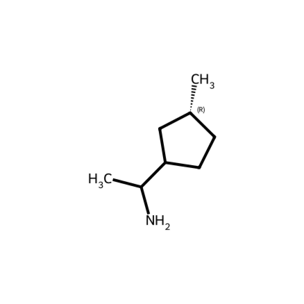 CC(N)C1CC[C@@H](C)C1